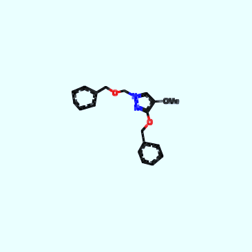 COc1cn(COCc2ccccc2)nc1OCc1ccccc1